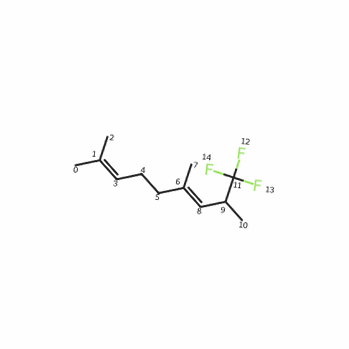 CC(C)=CCC/C(C)=C/C(C)C(F)(F)F